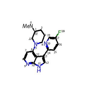 CN[C@H]1CCCN(c2ccnc3[nH]cc(-c4ccc(F)cn4)c23)C1